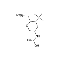 CC(C)(C)C1CC(NC(=O)O)COC1CC#N